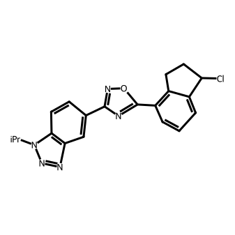 CC(C)n1nnc2cc(-c3noc(-c4cccc5c4CCC5Cl)n3)ccc21